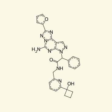 Nc1nc2c(cnn2C(C(=O)NCc2cccc(C3(O)CCC3)n2)c2ccccc2)c2nc(-c3ccco3)nn12